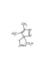 CCCCCCC[N+]1(C(=O)O)N=NC(C)=C1C